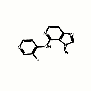 CC(C)n1cnc2ccnc(Nc3ccncc3F)c21